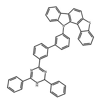 c1ccc(C2=NC(c3cccc(-c4cccc(-n5c6ccccc6c6ccc7sc8ccccc8c7c65)c4)c3)=NC(c3ccccc3)N2)cc1